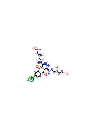 Cl.Cl.Cl.O=C1c2ccccc2C(=O)c2c(NCCNCCO)nnc(NCCNCCO)c21